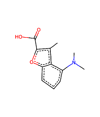 Cc1c(C(=O)O)oc2cccc(N(C)C)c12